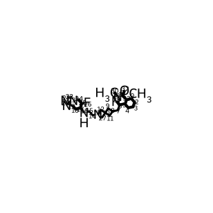 Cc1cccc2c(CC3CC4(C3)CN(CCNc3cc5nncn5cc3F)C4)nn(C)c(=O)c12